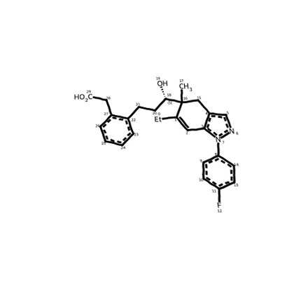 CCC1=Cc2c(cnn2-c2ccc(F)cc2)CC1(C)[C@@H](O)CCc1ccccc1CC(=O)O